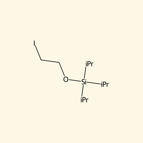 CC(C)[Si](OCCI)(C(C)C)C(C)C